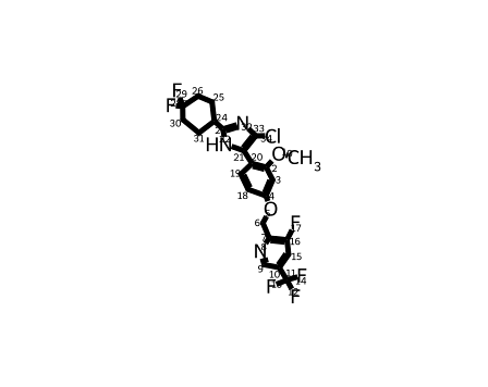 COc1cc(OCc2ncc(C(F)(F)F)cc2F)ccc1-c1[nH]c(C2CCC(F)(F)CC2)nc1Cl